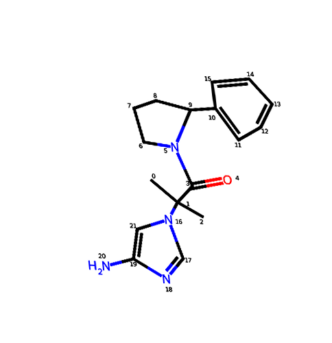 CC(C)(C(=O)N1CCCC1c1ccccc1)n1cnc(N)c1